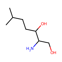 CC(C)CCC(O)C(N)CO